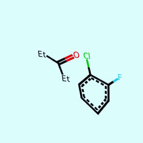 CCC(=O)CC.Fc1ccccc1Cl